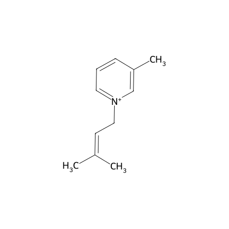 CC(C)=CC[n+]1cccc(C)c1